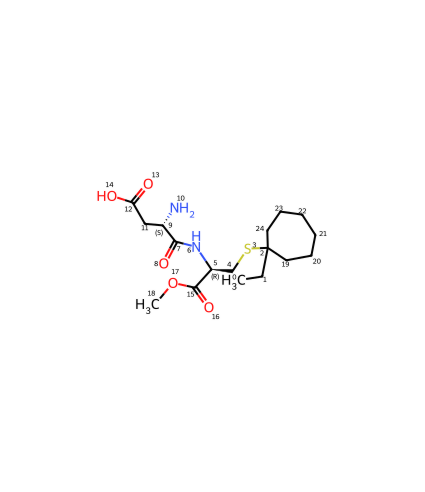 CCC1(SC[C@H](NC(=O)[C@@H](N)CC(=O)O)C(=O)OC)CCCCCC1